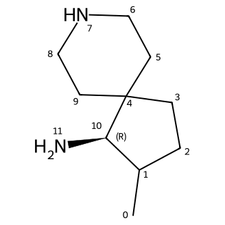 CC1CCC2(CCNCC2)[C@@H]1N